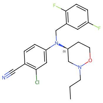 CCCN1C[C@@H](N(Cc2cc(F)ccc2F)c2ccc(C#N)c(Cl)c2)CCO1